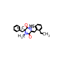 C=Cc1cccc(C#N)c1/C=C1/C(=O)N(C)C(C)(Cc2ccccc2)C(=O)N1C